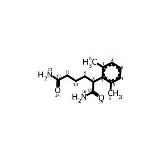 Cc1cccc(C)c1C(CCCC(N)=O)C(N)=O